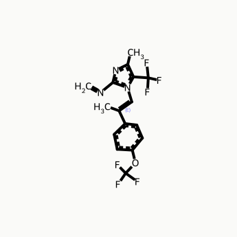 C=Nc1nc(C)c(C(F)(F)F)n1/C=C(\C)c1ccc(OC(F)(F)F)cc1